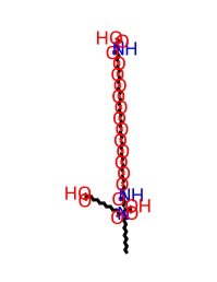 CCCCCCCCCCCN(C(=O)CCCCCCCCCC(=O)O)[C@@H](CCC(=O)NCCOCCOCCOCCOCCOCCOCCOCCOCCOCCOCCOCCOCCC(=O)NCC(=O)O)C(=O)O